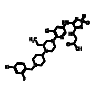 CC[C@H]1CN(c2ncc(NC3=NS(=O)(=O)N=C3NCC(=O)O)cc2Cl)CCN1C1CCN(Cc2ccc(Cl)cc2F)CC1